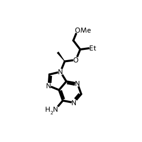 CCC(COC)O[C@H](C)n1cnc2c(N)ncnc21